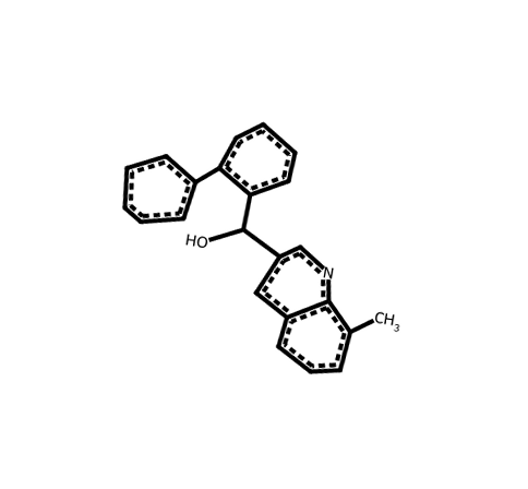 Cc1cccc2cc(C(O)c3ccccc3-c3ccccc3)cnc12